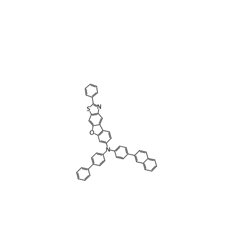 c1ccc(-c2ccc(N(c3ccc(-c4ccc5ccccc5c4)cc3)c3ccc4c(c3)oc3cc5sc(-c6ccccc6)nc5cc34)cc2)cc1